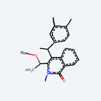 Cc1ccc(C(C)c2c(C(OC(C)(C)C)C(=O)O)n(C)c(=O)c3ccccc23)cc1C